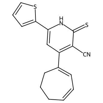 N#Cc1c(C2=CC=CCCC2)cc(-c2cccs2)[nH]c1=S